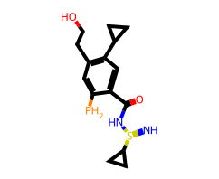 N=S(NC(=O)c1cc(C2CC2)c(CCO)cc1P)C1CC1